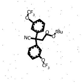 CC(C)(C)OC(=O)CC(C#N)(c1cccc(OC(F)(F)F)c1)c1cccc(OC(F)(F)F)c1